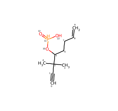 C#CC(C)(C)C(CCC=C)O[PH](=O)O